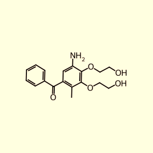 Cc1c(C(=O)c2ccccc2)cc(N)c(OCCO)c1OCCO